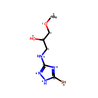 CCCCOCC(O)CNc1n[nH]c(S)n1